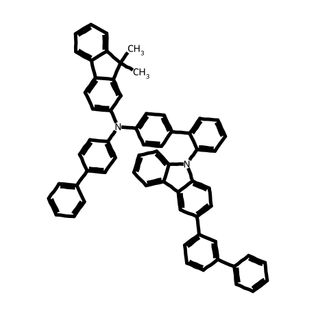 CC1(C)c2ccccc2-c2ccc(N(c3ccc(-c4ccccc4)cc3)c3ccc(-c4ccccc4-n4c5ccccc5c5cc(-c6cccc(-c7ccccc7)c6)ccc54)cc3)cc21